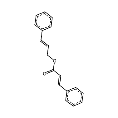 O=C(/C=C/c1ccccc1)OCC=Cc1ccccc1